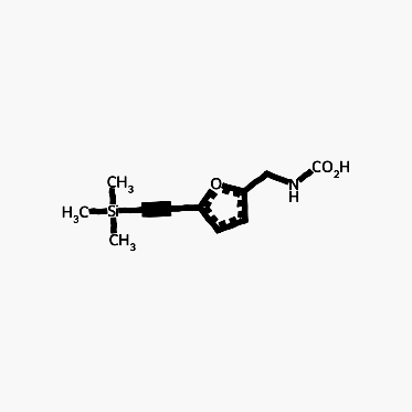 C[Si](C)(C)C#Cc1ccc(CNC(=O)O)o1